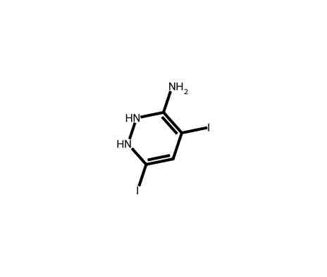 NC1=C(I)C=C(I)NN1